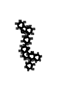 c1ccc(-c2c3ccccc3nc3c2ccc2ccc(-c4ccc(-c5cccc6c5oc5ccccc56)cc4)nc23)cc1